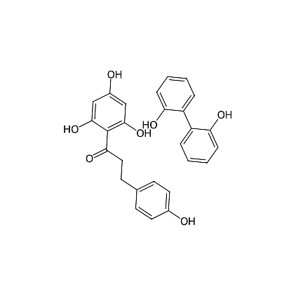 O=C(CCc1ccc(O)cc1)c1c(O)cc(O)cc1O.Oc1ccccc1-c1ccccc1O